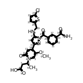 COc1cn(C(C)CC(=O)O)c(=O)cc1-c1cc(NCc2ccc(Cl)s2)n(C(=O)c2cccc(C(N)=O)c2)n1